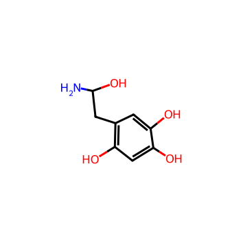 NC(O)Cc1cc(O)c(O)cc1O